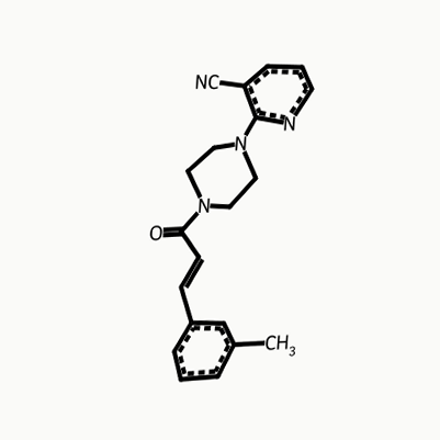 Cc1cccc(C=CC(=O)N2CCN(c3ncccc3C#N)CC2)c1